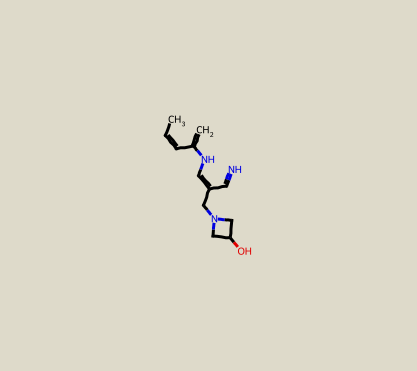 C=C(/C=C\C)N/C=C(\C=N)CN1CC(O)C1